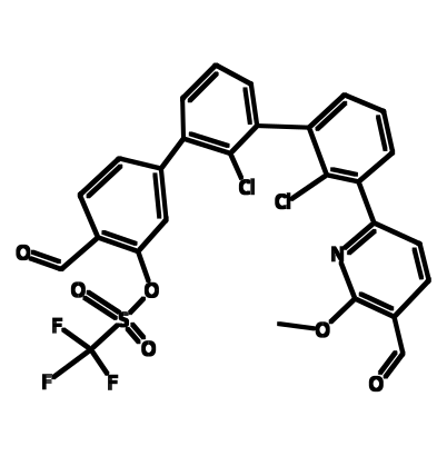 COc1nc(-c2cccc(-c3cccc(-c4ccc(C=O)c(OS(=O)(=O)C(F)(F)F)c4)c3Cl)c2Cl)ccc1C=O